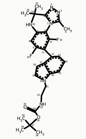 Cc1nnc2n1-c1c(cc(F)c(-c3cccc4c3ccn4CCNC(=O)OC(C)(C)C)c1F)NC2(C)C